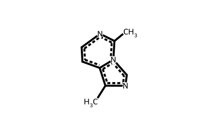 Cc1ncn2c(C)nccc12